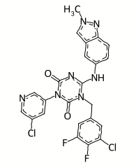 Cn1cc2cc(Nc3nc(=O)n(-c4cncc(Cl)c4)c(=O)n3Cc3cc(F)c(F)c(Cl)c3)ccc2n1